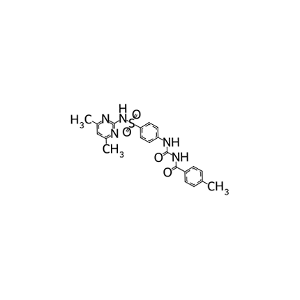 Cc1ccc(C(=O)NC(=O)Nc2ccc(S(=O)(=O)Nc3nc(C)cc(C)n3)cc2)cc1